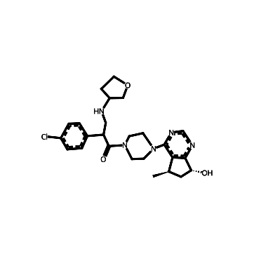 C[C@@H]1C[C@@H](O)c2ncnc(N3CCN(C(=O)C(CNC4CCOC4)c4ccc(Cl)cc4)CC3)c21